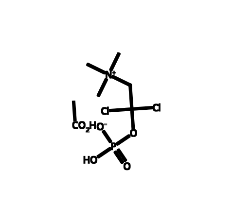 CC(=O)O.C[N+](C)(C)CC(Cl)(Cl)OP(=O)([O-])O